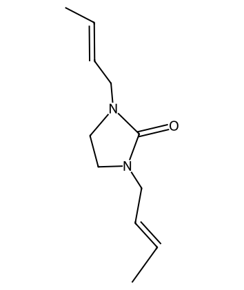 C/C=C/CN1CCN(C/C=C/C)C1=O